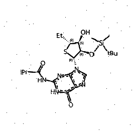 CC[C@H]1S[C@@H](n2cnc3c(=O)[nH]c(NC(=O)C(C)C)nc32)[C@H](O[Si](C)(C)C(C)(C)C)[C@@H]1O